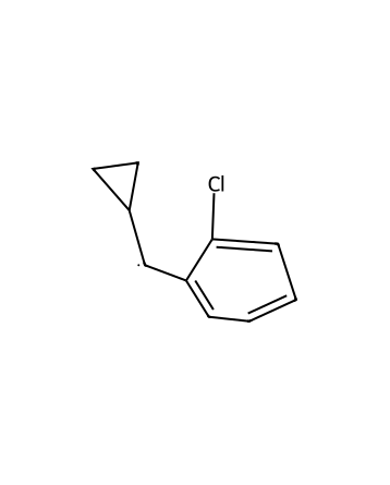 Clc1ccccc1[CH]C1CC1